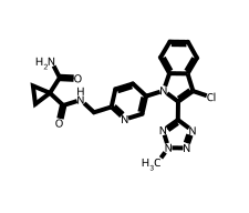 Cn1nnc(-c2c(Cl)c3ccccc3n2-c2ccc(CNC(=O)C3(C(N)=O)CC3)nc2)n1